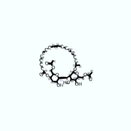 CC(=O)OCC1O/C2=C/C3C(OC(C)CCCCCC/C=C\CCCCCCCC(=O)OC1CC2O)OC(COC(C)=O)C(O)C3O